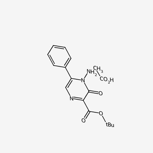 CC(=O)O.CC(C)(C)OC(=O)c1ncc(-c2ccccc2)n(N)c1=O